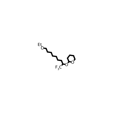 CCOCCCCCCCC(OC1CCCCO1)C(F)(F)F